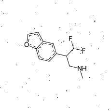 CNCC(c1ccc2occc2c1)C(F)F